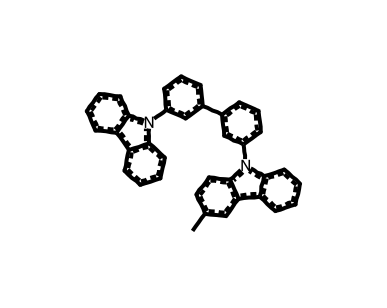 Cc1ccc2c(c1)c1ccccc1n2-c1cccc(-c2cccc(-n3c4ccccc4c4ccccc43)c2)c1